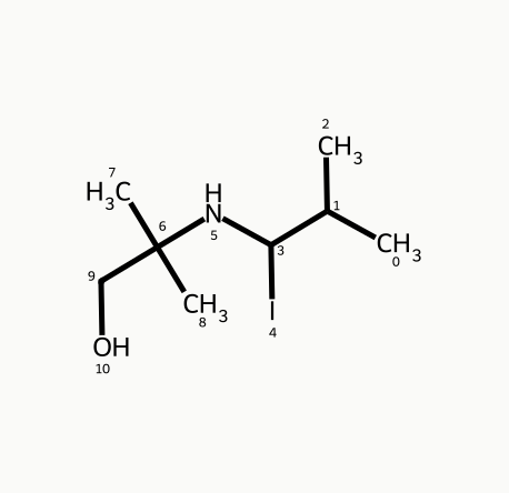 CC(C)C(I)NC(C)(C)CO